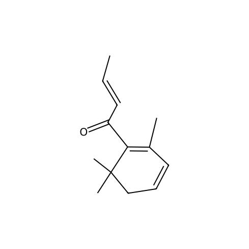 CC=CC(=O)C1=C(C)C=CCC1(C)C